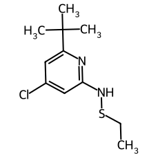 CCSNc1cc(Cl)cc(C(C)(C)C)n1